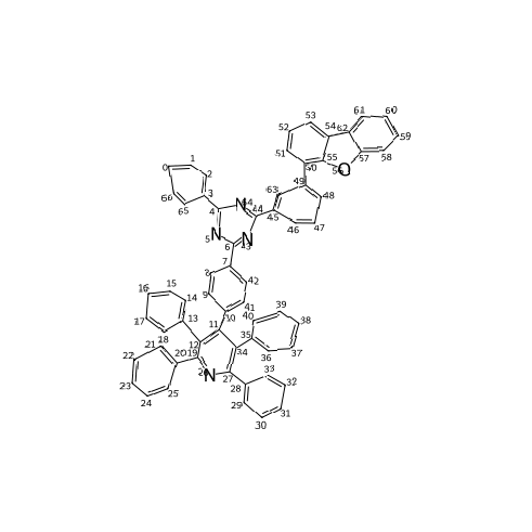 c1ccc(-c2nc(-c3ccc(-c4c(-c5ccccc5)c(-c5ccccc5)nc(-c5ccccc5)c4-c4ccccc4)cc3)nc(-c3cccc(-c4cccc5c4oc4ccccc45)c3)n2)cc1